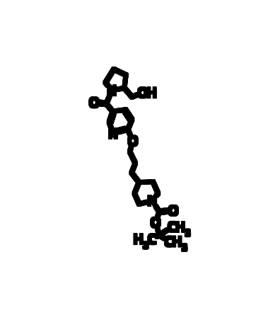 CC(C)(C)OC(=O)N1CCC(CCCOc2ccc(C(=O)N3CCCC3CO)cn2)CC1